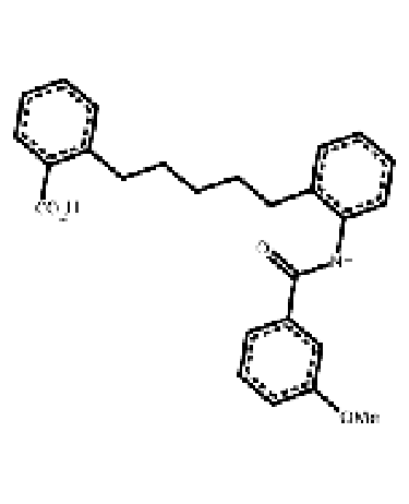 COc1cccc(C(=O)Nc2ccccc2CCCCCc2ccccc2C(=O)O)c1